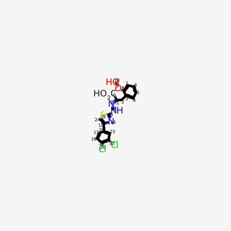 O=C(O)/C(Cc1ccccc1OO)=N/Nc1nc(-c2ccc(Cl)c(Cl)c2)cs1